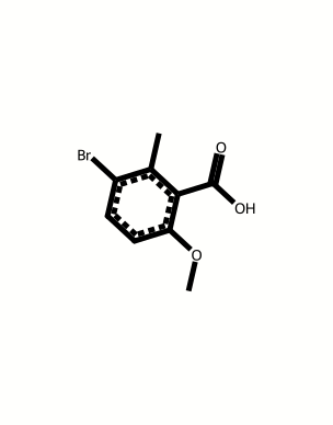 COc1ccc(Br)c(C)c1C(=O)O